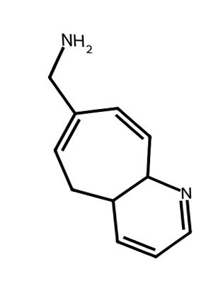 NCC1=CCC2C=CC=NC2C=C1